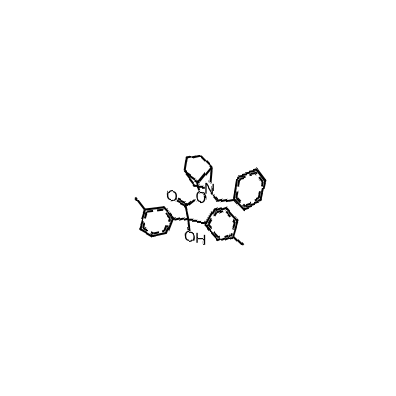 Cc1cccc(C(O)(C(=O)OC2C3CCC2N(Cc2ccccc2)C3)c2cccc(C)c2)c1